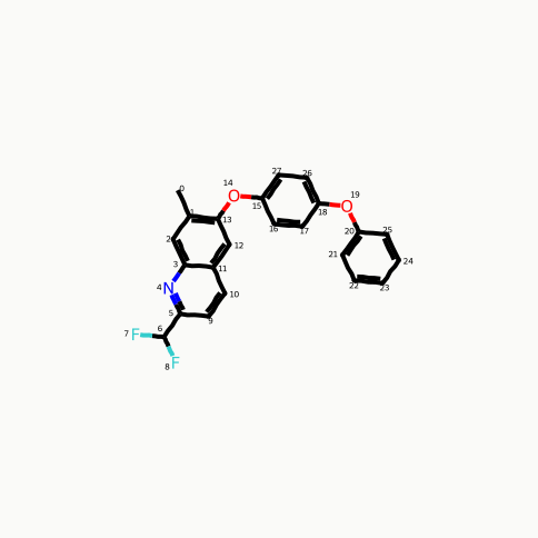 Cc1cc2nc(C(F)F)ccc2cc1Oc1ccc(Oc2ccccc2)cc1